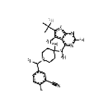 [2H]c1nc(N([2H])C2([2H])CCN(C([2H])c3ccc(F)c(C#N)c3)CC2)c2c([2H])c(C([2H])(C)C)sc2n1